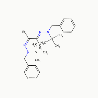 CCC(=NN(Cc1ccccc1)[Si](C)(C)C)C(C)=NN(Cc1ccccc1)[Si](C)(C)C